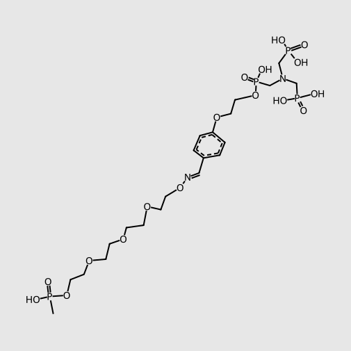 CP(=O)(O)OCCOCCOCCOCCO/N=C/c1ccc(OCCOP(=O)(O)CN(CP(=O)(O)O)CP(=O)(O)O)cc1